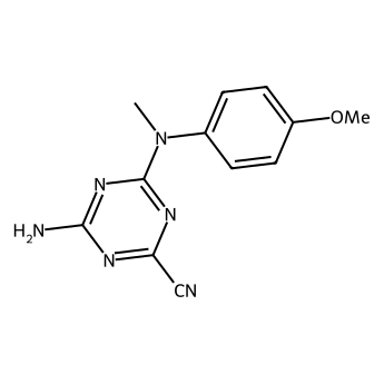 COc1ccc(N(C)c2nc(N)nc(C#N)n2)cc1